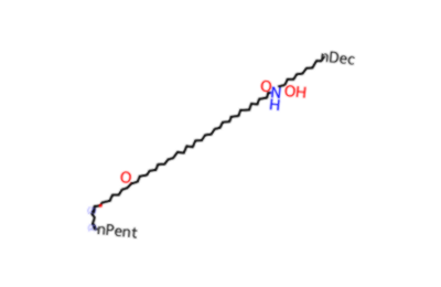 CCCCC/C=C\C/C=C\CCCCCCCC(=O)CCCCCCCCCCCCCCCCCCCCCCCCCCCCCC(=O)NCC(O)CCCCCCCCCCCCCCCCCC